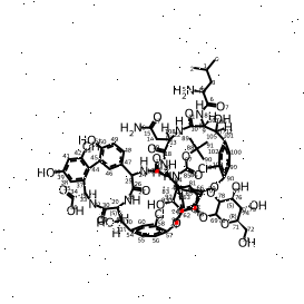 CC(C)C[C@H](N)C(=O)N[C@H]1C(=O)N[C@@H](CC(N)=O)C(=O)N[C@H]2C(=O)NC3C(=O)N[C@H](C(=O)N[C@H](C(=O)O)c4cc(O)cc(O)c4-c4cc3ccc4O)[C@H](O)c3ccc(c(Cl)c3)Oc3cc2cc(c3OC2O[C@H](CO)[C@@H](O)[C@H](O)C2O[C@H]2C[C@](C)(NC(=O)OC(C)(C)C)[C@H](O)[C@H](C)O2)Oc2ccc(cc2Cl)[C@H]1O